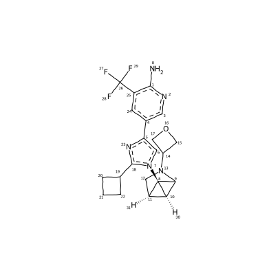 Nc1ncc(-c2cn([C@@]34C5[C@H]3[C@H]4CN5C3COC3)c(C3CCC3)n2)cc1C(F)(F)F